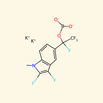 Cn1c(F)c(F)c2cc(C(F)(OB([O-])[O-])C(F)(F)F)ccc21.[K+].[K+]